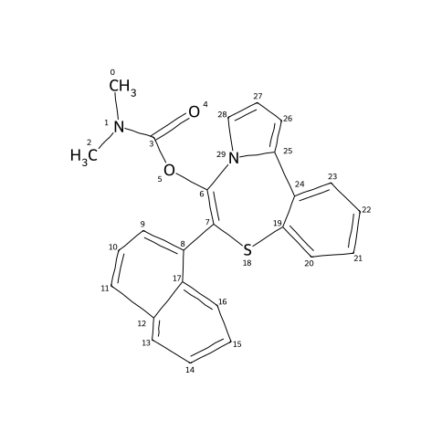 CN(C)C(=O)OC1=C(c2cccc3ccccc23)Sc2ccccc2-c2cccn21